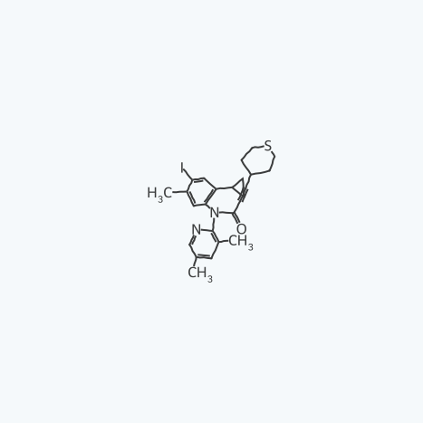 Cc1cnc(N(C(=O)C#CC2CCSCC2)c2cc(C)c(I)cc2C2CC2)c(C)c1